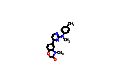 Cc1ccc(N(C)c2nccc(-c3ccc4c(c3)N(C)C(=O)CO4)n2)cc1